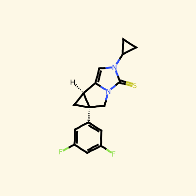 Fc1cc(F)cc([C@]23C[C@H]2c2cn(C4CC4)c(=S)n2C3)c1